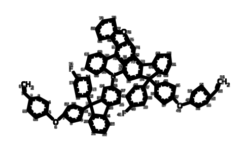 C=Cc1ccc(Oc2ccc(C3(c4ccc(F)cc4)c4ccccc4-c4ccc(N(c5ccc6c(c5)C(c5ccc(F)cc5)(c5ccc(Oc7ccc(C=C)cc7)cc5)c5ccccc5-6)c5ccccc5-c5cccc6oc7ccccc7c56)cc43)cc2)cc1